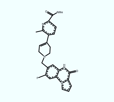 CNC(=O)c1ccc(C2=CCN(Cc3cc4[nH]c(=O)c5cccn5c4cc3F)CC2)c(C)n1